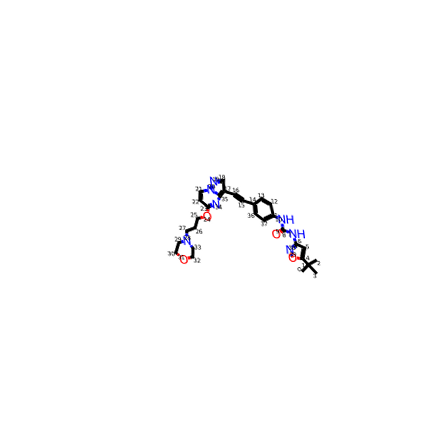 CC(C)(C)c1cc(NC(=O)Nc2ccc(C#Cc3cnn4ccc(OCCCN5CCOCC5)nc34)cc2)no1